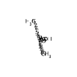 CCCCCCCCCCCCCC(CCCCCCCCCCCC)OC(=O)CC(=O)O